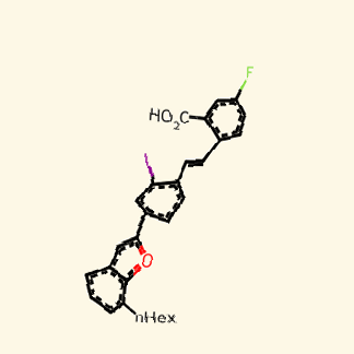 CCCCCCc1cccc2cc(-c3ccc(C=Cc4ccc(F)cc4C(=O)O)c(I)c3)oc12